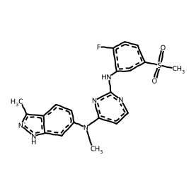 Cc1n[nH]c2cc(N(C)c3ccnc(Nc4cc(S(C)(=O)=O)ccc4F)n3)ccc12